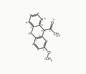 COc1ccc2c(c1)N(C(C)=O)c1ncccc1S2